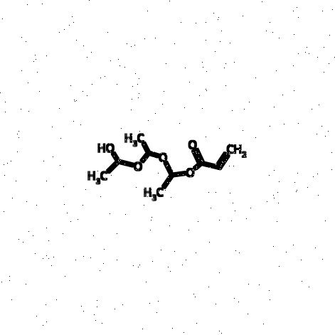 C=CC(=O)OC(C)OC(C)OC(C)O